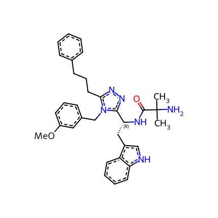 COc1cccc(Cn2c(CCCc3ccccc3)nnc2[C@@H](Cc2c[nH]c3ccccc23)NC(=O)C(C)(C)N)c1